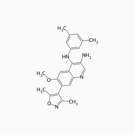 COc1cc2c(Nc3cc(C)cc(C)c3)c(N)cnc2cc1-c1c(C)noc1C